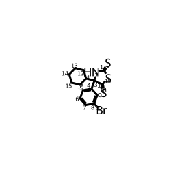 S=C1NC(c2cccc(Br)c2)(C2CCCCC2)C(=S)S1